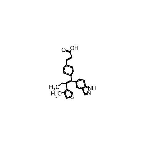 CCC(=C(c1ccc(C=CC(=O)O)cc1)c1ccc2[nH]ncc2c1)c1cscc1C